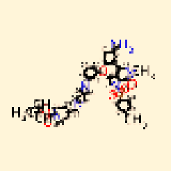 Cc1ccc(S(=O)(=O)n2ccc3c(-c4cc(N)ccc4Oc4cccc(N5CC6(CN(CC7CCN(C(=O)OC(C)(C)C)CC7)C6)C5)c4)cn(C)c(=O)c32)cc1